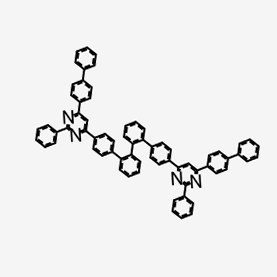 c1ccc(-c2ccc(-c3cc(-c4ccc(-c5ccccc5-c5ccccc5-c5ccc(-c6cc(-c7ccc(-c8ccccc8)cc7)nc(-c7ccccc7)n6)cc5)cc4)nc(-c4ccccc4)n3)cc2)cc1